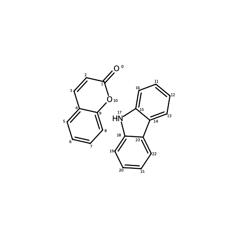 O=c1ccc2ccccc2o1.c1ccc2c(c1)[nH]c1ccccc12